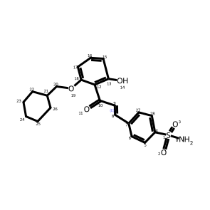 NS(=O)(=O)c1ccc(/C=C/C(=O)c2c(O)cccc2OCC2CCCCC2)cc1